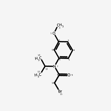 COc1cccc(N(C(=O)CBr)C(C)C)c1